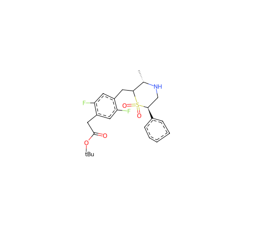 C[C@@H]1NC[C@@H](c2ccccc2)S(=O)(=O)C1Cc1cc(F)c(CC(=O)OC(C)(C)C)cc1F